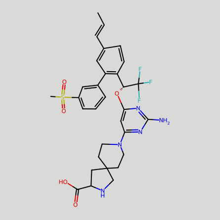 C/C=C/c1ccc([C@@H](Oc2cc(N3CCC4(CC3)CNC(C(=O)O)C4)nc(N)n2)C(F)(F)F)c(-c2cccc(S(C)(=O)=O)c2)c1